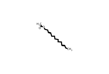 CCC=CCCCCCCC=CCCOC(C)=O